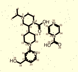 CC(C)N1CCN(C(=O)O)C(C2CCN(c3cc(CO)ccn3)CC2)C1.O=C(O)N1C=CN=CC1